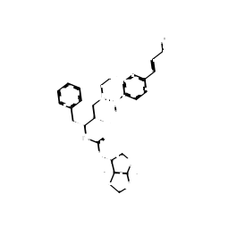 CC(C)CN(C[C@@H](O)[C@H](Cc1ccccc1)NC(=O)O[C@H]1CO[C@H]2OCC[C@H]21)[S+]([O-])c1ccc(/C=C/CO)cc1